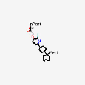 CCCCC[C@@H]1O[C@H]1COc1ccc(-c2ccc(C3(C(C)CCC)CCCCC3)cc2)nc1F